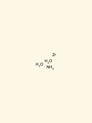 N.O.O.[Zr]